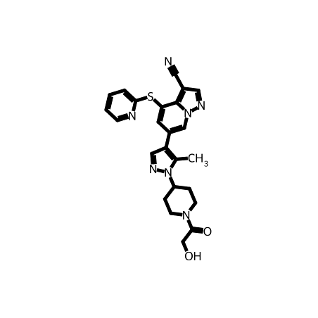 Cc1c(-c2cc(Sc3ccccn3)c3c(C#N)cnn3c2)cnn1C1CCN(C(=O)CO)CC1